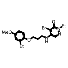 CCc1cc(OC)ccc1OCCCNc1cnn(CC)c(=O)c1Br